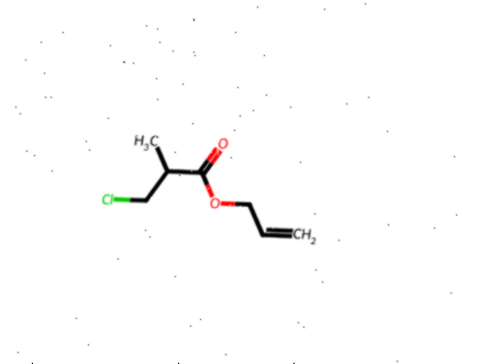 C=CCOC(=O)C(C)CCl